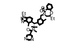 CC[C@@H]1CN(Cc2cc([C@@H](c3ccc4c(nnn4CC)c3C)C(C)(C)N(C)C(=O)c3cncnc3)ccc2C)S(=O)(=O)c2ccccc2O1